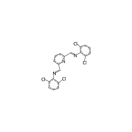 Clc1cccc(Cl)c1N=Cc1cccc(C=Nc2c(Cl)cccc2Cl)n1